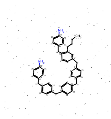 CCCCc1cc(Cc2ccc(Cc3ccc(Cc4ccc(Cc5ccc(N)cc5)cc4)cc3)cc2)ccc1Cc1ccc(N)cc1